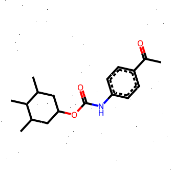 CC(=O)c1ccc(NC(=O)OC2CC(C)C(C)C(C)C2)cc1